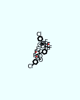 O=S(=O)(OC(c1cccc(C(OS(=O)(=O)c2ccc(Cl)cc2)(C(F)(F)F)C(F)(F)F)c1)(C(F)(F)F)C(F)(F)F)c1ccc(Cl)cc1